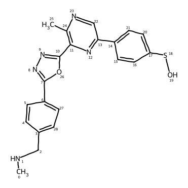 CNCc1ccc(-c2nnc(-c3nc(-c4ccc(SO)cc4)cnc3C)o2)cc1